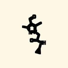 Cc1nn(CC(=O)NC2CC2)c(C)c1C=O